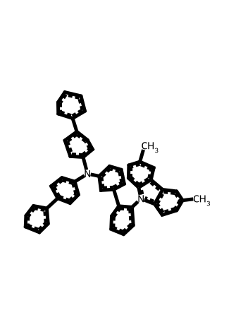 Cc1ccc2c(c1)c1cc(C)ccc1n2-c1ccccc1-c1cccc(N(c2ccc(-c3ccccc3)cc2)c2ccc(-c3ccccc3)cc2)c1